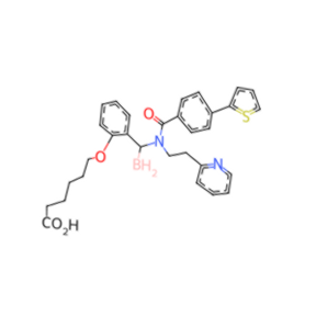 BC(c1ccccc1OCCCCCC(=O)O)N(CCc1ccccn1)C(=O)c1ccc(-c2cccs2)cc1